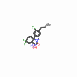 CN(C(N)=O)C1(c2ccc(CCC(C)(C)C)c(Cl)c2)CCC(F)(F)CC1CO